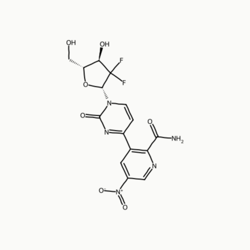 NC(=O)c1ncc([N+](=O)[O-])cc1-c1ccn([C@@H]2O[C@H](CO)[C@@H](O)C2(F)F)c(=O)n1